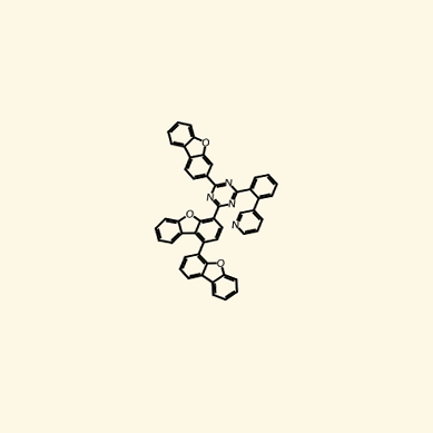 c1cncc(-c2ccccc2-c2nc(-c3ccc4c(c3)oc3ccccc34)nc(-c3ccc(-c4cccc5c4oc4ccccc45)c4c3oc3ccccc34)n2)c1